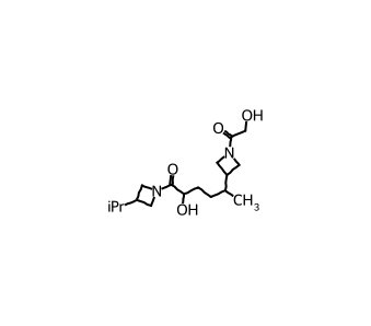 CC(C)C1CN(C(=O)C(O)CCC(C)C2CN(C(=O)CO)C2)C1